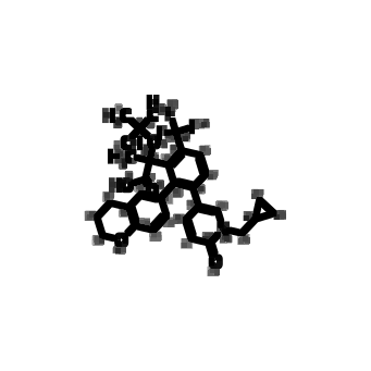 CC(C)(C)OC(C)(C(=O)O)c1c(C(F)(F)F)ccc(-c2ccc(=O)n(CC3CC3)c2)c1-c1ccc2c(c1)CCCO2